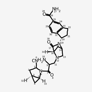 N#CC1C[C@@H]2C[C@@H]2N1C(=O)C(N)CN1CC2C[C@H]1C(=O)N2[C@H]1CCc2cc(C(N)=O)ccc21